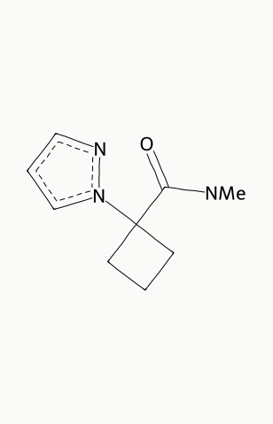 CNC(=O)C1(n2cccn2)CCC1